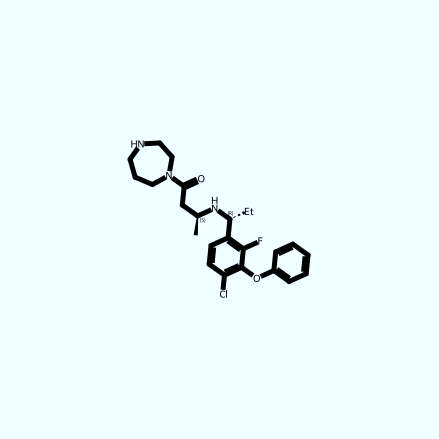 CC[C@@H](N[C@@H](C)CC(=O)N1CCCNCC1)c1ccc(Cl)c(Oc2ccccc2)c1F